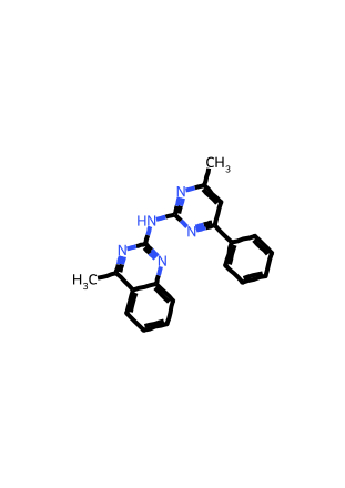 Cc1cc(-c2ccccc2)nc(Nc2nc(C)c3ccccc3n2)n1